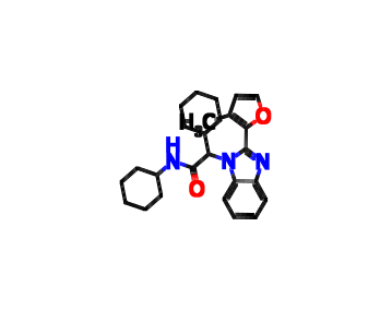 Cc1ccoc1-c1nc2ccccc2n1C(C(=O)NC1CCCCC1)C1CCCCC1